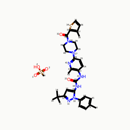 CS(=O)(=O)O.Cc1ccc(-n2nc(C(C)(C)C)cc2NC(=O)Nc2ccc(N3CCN(C(=O)c4sccc4C)CC3)nc2C)cc1